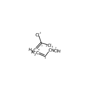 C=C(Cl)Cl.C=CC#N.Cl